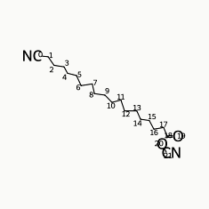 N#CCCCCCCCCCCCCCCCCCC(=O)OC#N